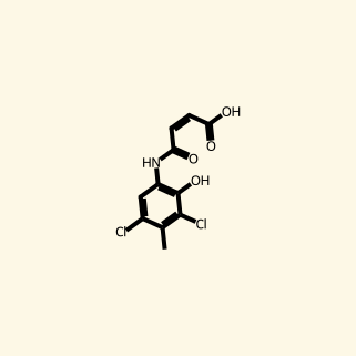 Cc1c(Cl)cc(NC(=O)/C=C\C(=O)O)c(O)c1Cl